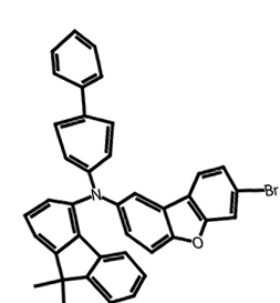 CC1(C)c2ccccc2-c2c(N(c3ccc(-c4ccccc4)cc3)c3ccc4oc5cc(Br)ccc5c4c3)cccc21